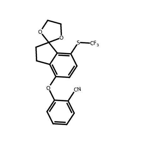 N#Cc1ccccc1Oc1ccc(SC(F)(F)F)c2c1CCC21OCCO1